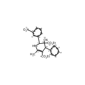 CCOC(=O)C1=C(C)NC(c2cccc([N+](=O)[O-])c2)C(C#N)(C(=O)OCC)C1c1ccccc1